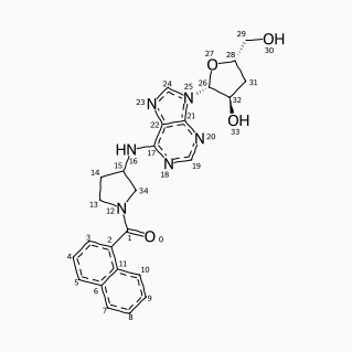 O=C(c1cccc2ccccc12)N1CCC(Nc2ncnc3c2ncn3[C@@H]2O[C@H](CO)C[C@H]2O)C1